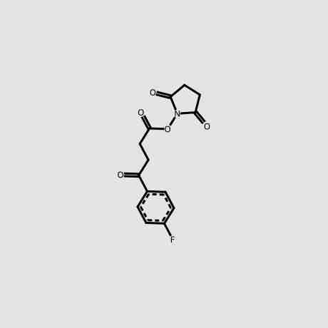 O=C(CCC(=O)c1ccc(F)cc1)ON1C(=O)CCC1=O